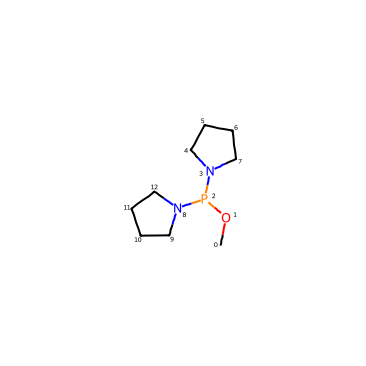 COP(N1CCCC1)N1CCCC1